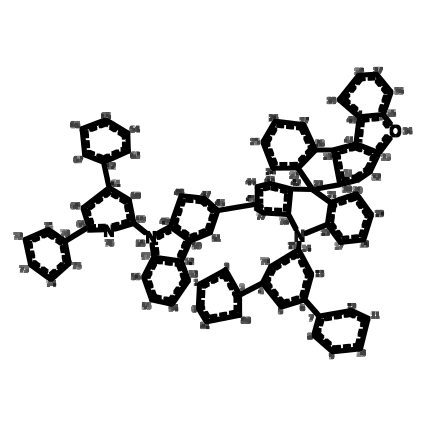 c1ccc(-c2cc(-c3ccccc3)cc(N3c4ccccc4C4(c5ccccc5-c5c4ccc4oc6ccccc6c54)c4ccc(-c5ccc6c(c5)c5ccccc5n6-c5cc(-c6ccccc6)cc(-c6ccccc6)n5)cc43)c2)cc1